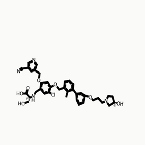 Cc1c(COc2cc(OCc3cncc(C#N)c3)c(CN[C@H](CO)C(=O)O)cc2Cl)cccc1-c1cccc(OCCCN2CC[C@@H](O)C2)c1